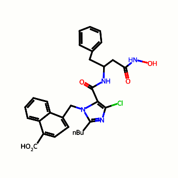 CCCCc1nc(Cl)c(C(=O)NC(CC(=O)NO)Cc2ccccc2)n1Cc1ccc(C(=O)O)c2ccccc12